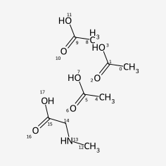 CC(=O)O.CC(=O)O.CC(=O)O.CNCC(=O)O